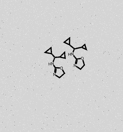 C1COC(NC(C2CC2)C2CC2)=N1.C1COC(NC(C2CC2)C2CC2)=N1